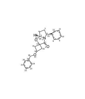 O=C1N2[C@@H](CC[C@H]2c2ccccc2)OC12CC(OCc1ccccc1)C2